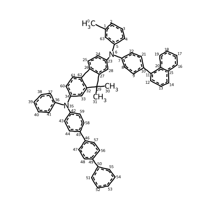 Cc1cccc(N(c2ccc(-c3cccc4ccccc34)cc2)c2ccc3c(c2)C(C)(C)c2cc(N(c4ccccc4)c4ccc(-c5ccc(-c6ccccc6)cc5)cc4)ccc2-3)c1